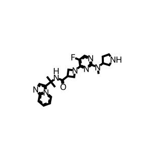 CN(c1ncc(F)c(N2CC(C(=O)NC(C)(C)c3cnc4ccccn34)C2)n1)C1CCNC1